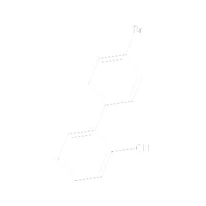 Cc1c[c]ccc1-c1ccc(Br)cc1